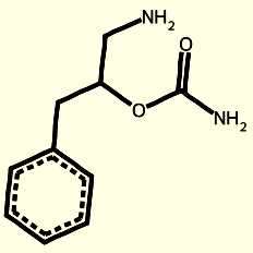 NCC(Cc1ccccc1)OC(N)=O